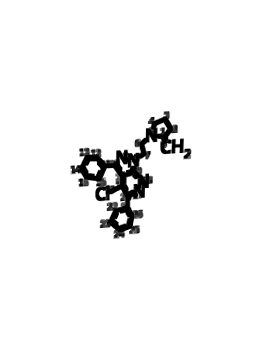 C=C1CCCN1CCn1nc(-c2ccccc2)c2c(Cl)c(-c3ccccc3)nnc21